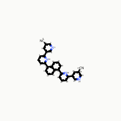 N#Cc1cncc(-c2cccc(-c3cccc4c(-c5cccc(-c6cncc(C#N)c6)n5)cccc34)n2)c1